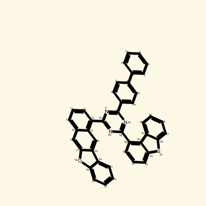 c1ccc(-c2ccc(-c3nc(-c4cccc5cc6oc7ccccc7c6cc45)nc(-c4cccc5sc6ccccc6c45)n3)cc2)cc1